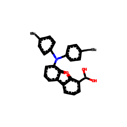 CC(C)(C)c1ccc(N(c2ccc(C(C)(C)C)cc2)c2cccc3c2oc2c(B(O)O)cccc23)cc1